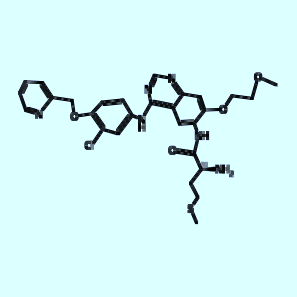 COCCOc1cc2ncnc(Nc3ccc(OCc4ccccn4)c(Cl)c3)c2cc1NC(=O)[C@@H](N)CCSC